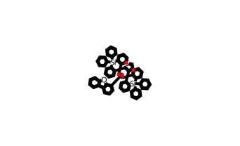 c1ccc([Si]2(c3ccccc3)c3ccccc3C3(c4ccccc42)c2cc(-c4cccc5c4oc4ccccc45)sc2C2(c4ccccc4[Si](c4ccccc4)(c4ccccc4)c4ccccc42)c2ccsc23)cc1